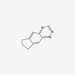 c1nnc2cc3c(cc2n1)CCC3